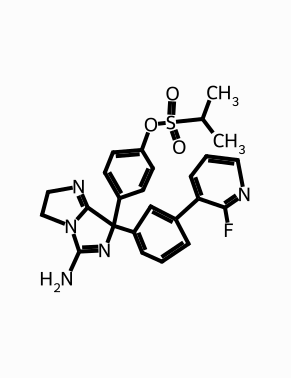 CC(C)S(=O)(=O)Oc1ccc(C2(c3cccc(-c4cccnc4F)c3)N=C(N)N3CCN=C32)cc1